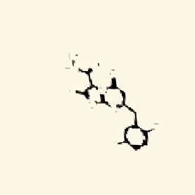 CCNC(=O)c1c(C)sc2nc(Cc3cc(F)ccc3CC)cc(=O)n12